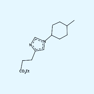 CCOC(=O)CCc1cn(C2CCC(C)CC2)cn1